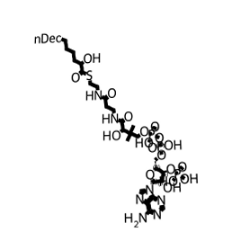 CCCCCCCCCCCCCCC(O)C(=O)SCCNC(=O)CCNC(=O)C(O)C(C)(C)COP(=O)(O)OP(=O)(O)OC[C@H]1O[C@@H](n2cnc3c(N)ncnc32)[C@H](O)[C@@H]1OP(=O)(O)O